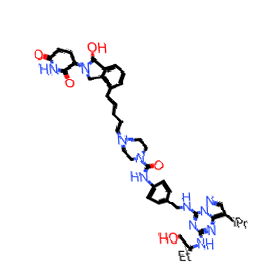 CC[C@@H](CO)Nc1nc(NCc2ccc(NC(=O)N3CCN(CCCCCc4cccc5c4CN(C4CCC(=O)NC4=O)C5O)CC3)cc2)n2ncc(C(C)C)c2n1